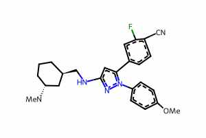 CN[C@@H]1CCC[C@@H](CNc2cc(-c3ccc(C#N)c(F)c3)n(-c3ccc(OC)cc3)n2)C1